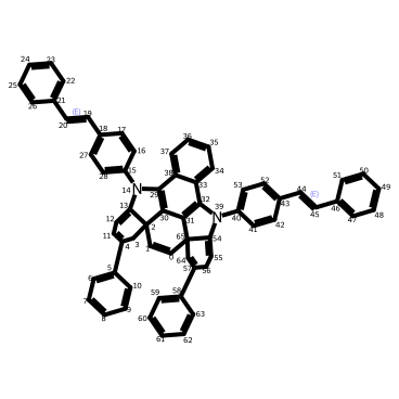 C1=CC23CC(c4ccccc4)=CC=C2N(c2ccc(/C=C/c4ccccc4)cc2)c2c3c3c(c4ccccc24)N(c2ccc(/C=C/c4ccccc4)cc2)C2=CCC(c4ccccc4)=CC123